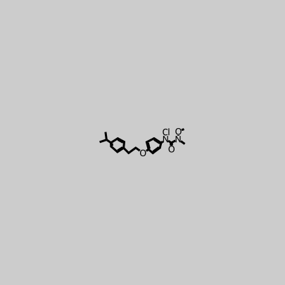 CON(C)C(=O)N(Cl)c1ccc(OCCc2ccc(C(C)C)cc2)cc1